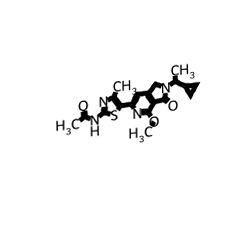 COc1nc(-c2sc(NC(C)=O)nc2C)cc2c1C(=O)N(C(C)C1CC1)C2